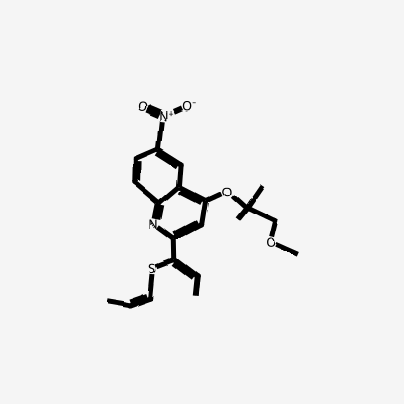 C/C=C\S/C(=C\C)c1cc(OC(C)(C)COC)c2cc([N+](=O)[O-])ccc2n1